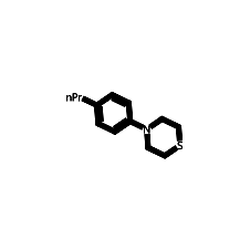 CCCc1ccc(N2CCSCC2)cc1